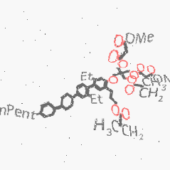 C=C(C)C(=O)OCCCc1cc(-c2ccc(C3CCC(C4CCC(CCCCC)CC4)CC3)cc2CC)c(CC)cc1OCC(COC(=O)CC(=O)OC)(COC(=O)CC(=O)OC)COC(=O)C(=C)C